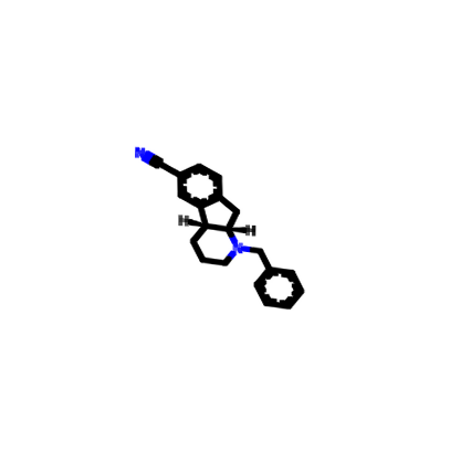 N#Cc1ccc2c(c1)[C@H]1CCCN(Cc3ccccc3)[C@H]1C2